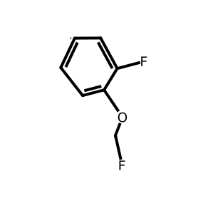 FCOc1cc[c]cc1F